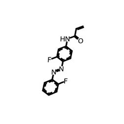 C=CC(=O)Nc1ccc(N=Nc2ccccc2F)c(F)c1